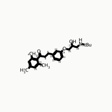 Cc1cc(C)c(C(=O)CCc2cccc(OCC(O)CNC(C)(C)C)c2)c(C)c1